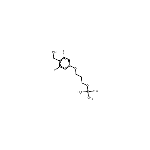 CC(C)(C)[Si](C)(C)OCCCOc1cc(F)c(CO)c(F)c1